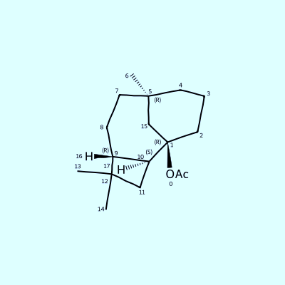 CC(=O)O[C@@]12CCC[C@](C)(CC[C@@H]3[C@@H]1CC3(C)C)C2